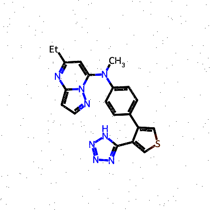 CCc1cc(N(C)c2ccc(-c3cscc3-c3nnn[nH]3)cc2)n2nccc2n1